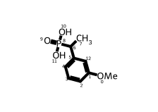 COc1cccc(C(C)P(=O)(O)O)c1